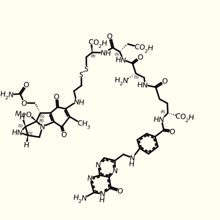 CO[C@@]12[C@H](COC(N)=O)C3=C(C(=O)C(C)=C(NCCSSC[C@H](NC(=O)[C@H](CC(=O)O)NC(=O)[C@@H](N)CNC(=O)CC[C@@H](NC(=O)c4ccc(NCc5cnc6nc(N)[nH]c(=O)c6n5)cc4)C(=O)O)C(=O)O)C3=O)N1C[C@@H]1N[C@@H]12